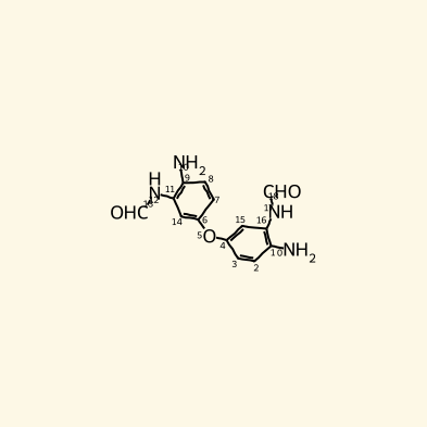 Nc1ccc(Oc2ccc(N)c(NC=O)c2)cc1NC=O